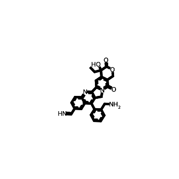 CCC1(O)C(=O)OCc2c1cc1n(c2=O)Cc2c-1nc1ccc(C=N)cc1c2-c1ccccc1CN